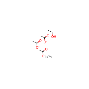 CC(=O)[O-].CC(=O)[O-].CC(=O)[O-].CCO.[Bi+3]